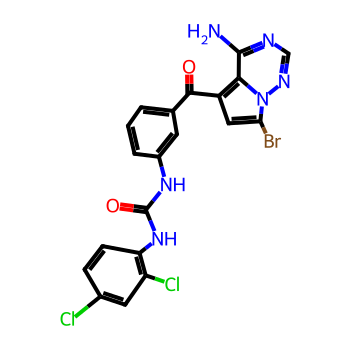 Nc1ncnn2c(Br)cc(C(=O)c3cccc(NC(=O)Nc4ccc(Cl)cc4Cl)c3)c12